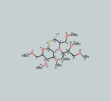 CCCCOCC1O[C@@H](S[C@H](C)C(COCCCC)O[C@H](OC)[C@H](COCCCC)OCCCC)CC(OCCCC)[C@@H]1OCCCC